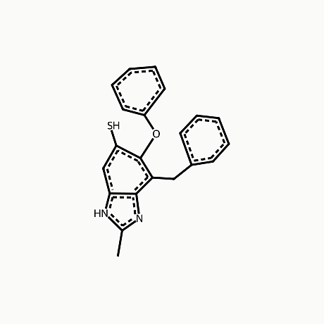 Cc1nc2c(Cc3ccccc3)c(Oc3ccccc3)c(S)cc2[nH]1